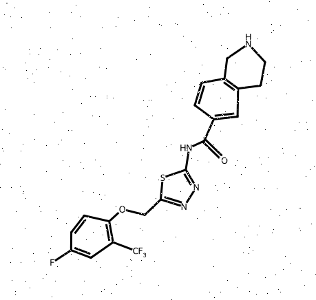 O=C(Nc1nnc(COc2ccc(F)cc2C(F)(F)F)s1)c1ccc2c(c1)CCNC2